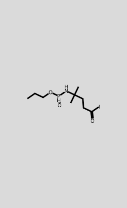 CCCO[PH](=O)NC(C)(C)CCC(=O)I